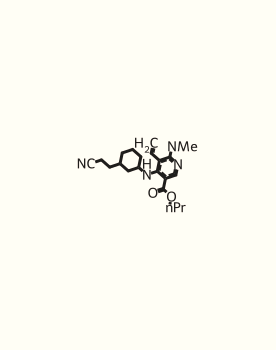 C=Cc1c(NC)ncc(C(=O)OCCC)c1NC1CCCC(CCC#N)C1